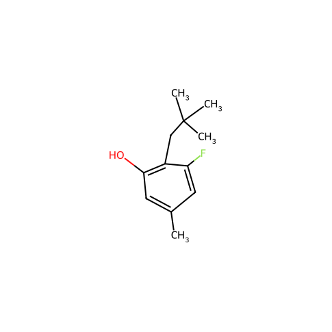 Cc1cc(O)c(CC(C)(C)C)c(F)c1